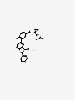 CNC(=O)C1c2cc(-c3cc(C(=O)NC4(c5nnc(C(C)C)[nH]5)CC4)ccc3C)ccc2OC1c1ccc(F)cc1